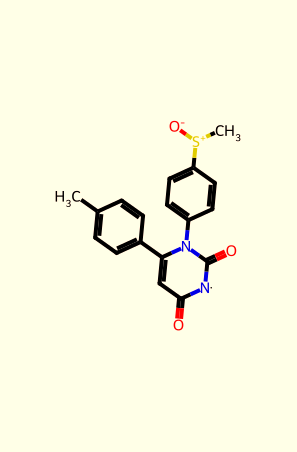 Cc1ccc(C2=CC(=O)[N]C(=O)N2c2ccc([S+](C)[O-])cc2)cc1